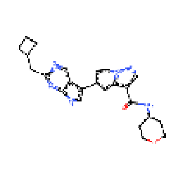 O=C(NC1CCOCC1)c1cnn2ccc(-c3c[nH]c4nc(CC5CCC5)ncc34)cc12